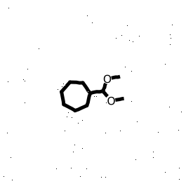 COC(OC)C1CCCCCC1